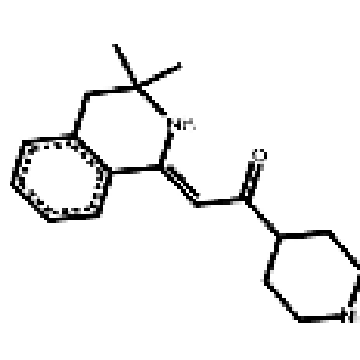 CC1(C)Cc2ccccc2C(=CC(=O)C2CCNCC2)N1